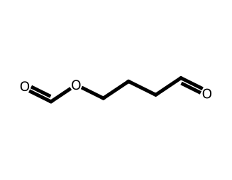 O=CCCCOC=O